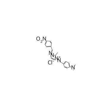 Cc1n(/N=C/c2ccc([N+](=O)[O-])cc2)cc[n+]1/N=C/c1ccc(N(C)C)cc1.[Cl-]